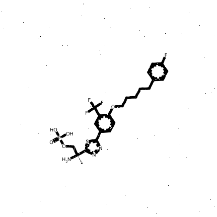 C[C@](N)(COP(=O)(O)O)c1nnc(-c2ccc(OCCCCCc3ccc(F)cc3)c(C(F)(F)F)c2)s1